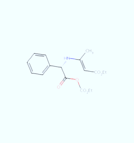 CCOC(=O)C=C(C)N[C@H](C(=O)OC(=O)OCC)c1ccccc1